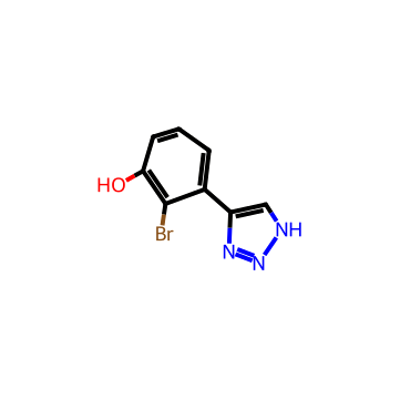 Oc1cccc(-c2c[nH]nn2)c1Br